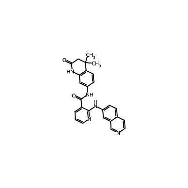 CC1(C)CC(=O)Nc2cc(NC(=O)c3cccnc3Nc3ccc4ccncc4c3)ccc21